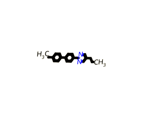 CCCc1cnc(-c2ccc(-c3ccc(CC)cc3)cc2)nc1